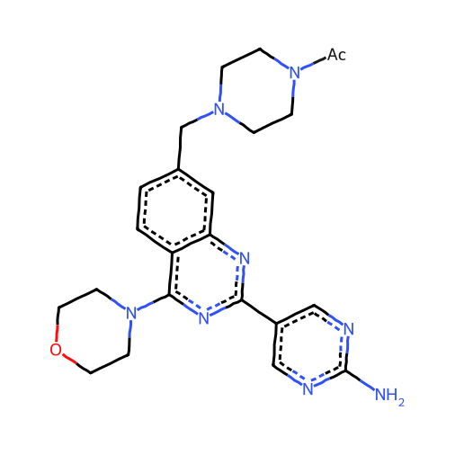 CC(=O)N1CCN(Cc2ccc3c(N4CCOCC4)nc(-c4cnc(N)nc4)nc3c2)CC1